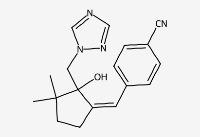 CC1(C)CCC(=Cc2ccc(C#N)cc2)C1(O)Cn1cncn1